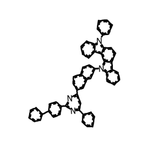 c1ccc(-c2ccc(-c3nc(-c4ccccc4)cc(-c4ccc5ccc(-n6c7ccccc7c7ccc8c(c9ccccc9n8-c8ccccc8)c76)cc5c4)n3)cc2)cc1